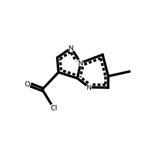 Cc1cnc2c(C(=O)Cl)cnn2c1